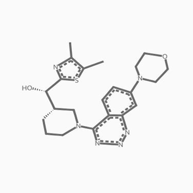 Cc1nc([C@@H](O)[C@H]2CCCN(c3nnnc4cc(N5CCOCC5)ccc34)C2)sc1C